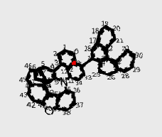 c1ccc(-c2ccccc2N(c2ccc(-c3cc4ccccc4c4c3ccc3ccccc34)cc2)c2cccc3oc4ccc5ccccc5c4c23)cc1